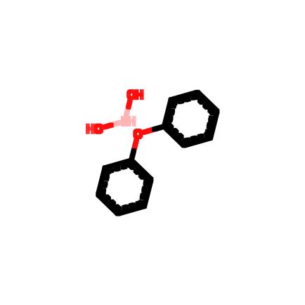 OBO.c1ccc(Oc2ccccc2)cc1